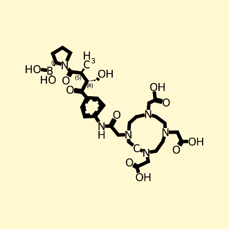 C[C@H](C(=O)N1CCC[C@H]1B(O)O)[C@H](CO)C(=O)c1ccc(NC(=O)CN2CCN(CC(=O)O)CCN(CC(=O)O)CCN(CC(=O)O)CC2)cc1